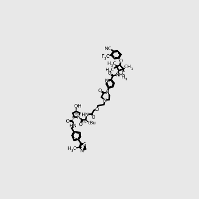 Cc1ncsc1-c1ccc(CNC(=O)[C@@H]2C[C@@H](O)CN2C(=O)[C@@H](NC(=O)COCCN2CCN(c3ccc(C(=O)NC4C(C)(C)C(Oc5ccc(C#N)c(C(F)(F)F)c5)C4(C)C)nc3)C(=O)C2)C(C)(C)C)cc1